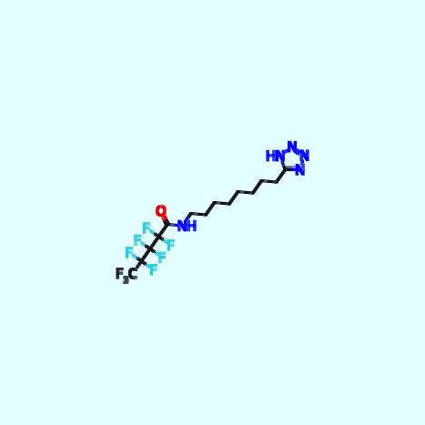 O=C(NCCCCCCCCc1nnn[nH]1)C(F)(F)C(F)(F)C(F)(F)C(F)(F)F